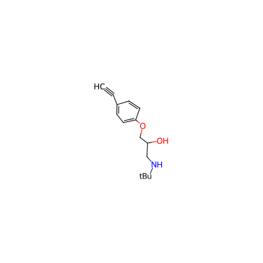 C#Cc1ccc(OCC(O)CNC(C)(C)C)cc1